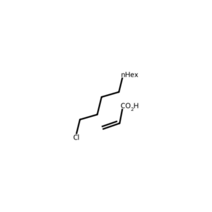 C=CC(=O)O.CCCCCCCCCCCl